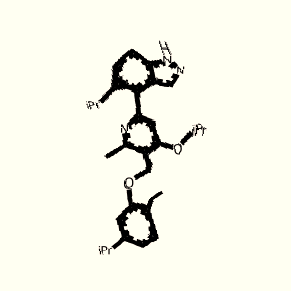 Cc1ccc(C(C)C)cc1OCc1c(OC(C)C)cc(-c2c(C(C)C)ccc3[nH]ncc23)nc1C